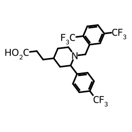 O=C(O)CCC1CCN(Cc2cc(C(F)(F)F)ccc2C(F)(F)F)C(c2ccc(C(F)(F)F)cc2)C1